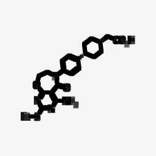 CCSc1nc(N)c2c(n1)OCCN(c1ccc([C@H]3CC[C@H](CC(=O)O)CC3)cc1)C2=O